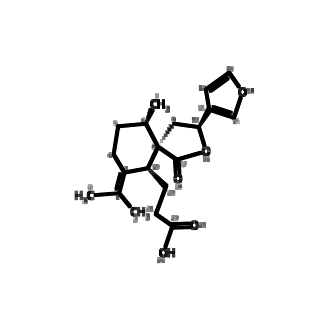 CC(C)=C1CC[C@@H](C)[C@]2(C[C@@H](c3ccoc3)OC2=O)[C@H]1CCC(=O)O